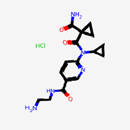 Cl.NCCNC(=O)c1ccc(N(C(=O)C2(C(N)=O)CC2)C2CC2)nc1